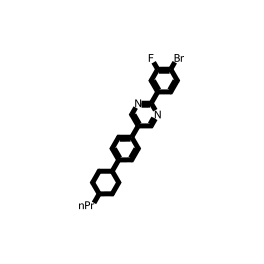 CCCC1CCC(c2ccc(-c3cnc(-c4ccc(Br)c(F)c4)nc3)cc2)CC1